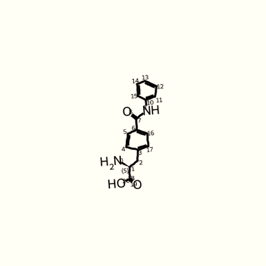 N[C@@H](Cc1ccc(C(=O)Nc2ccccc2)cc1)C(=O)O